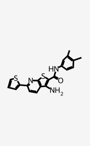 Cc1ccc(NC(=O)c2sc3nc(-c4cccs4)ccc3c2N)cc1C